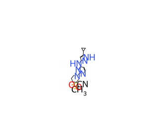 CS(=O)(=O)C1(C#N)CCCN(c2nccc(Nc3cc(C4CC4)[nH]n3)n2)C1